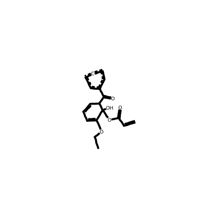 C=CC(=O)OC1(O)C(OCC)=CC=CC1C(=O)c1ccccc1